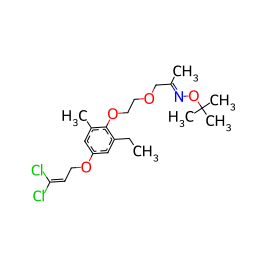 CCc1cc(OCC=C(Cl)Cl)cc(C)c1OCCOCC(C)=NOC(C)(C)C